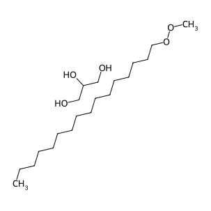 CCCCCCCCCCCCCCCCOOC.OCC(O)CO